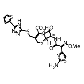 CON=C(C(=O)N[C@@H]1C(=O)N2C(C(=O)O)=C(CSc3nnc(-c4cccs4)[nH]3)CS[C@@H]12)c1csc(N)n1